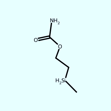 C[SiH2]CCOC(N)=O